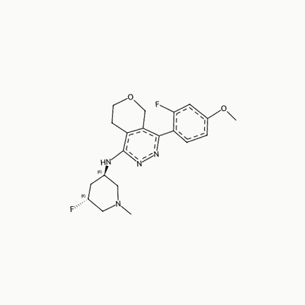 COc1ccc(-c2nnc(N[C@@H]3C[C@@H](F)CN(C)C3)c3c2COCC3)c(F)c1